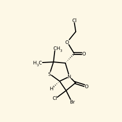 CC1(C)S[C@H]2N(C(=O)C2(Cl)Br)[C@H]1C(=O)OCCl